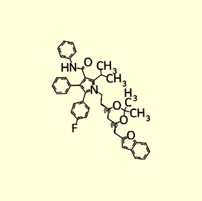 CC(C)c1c(C(=O)Nc2ccccc2)c(-c2ccccc2)c(-c2ccc(F)cc2)n1CC[C@@H]1C[C@H](Cc2cc3ccccc3o2)OC(C)(C)O1